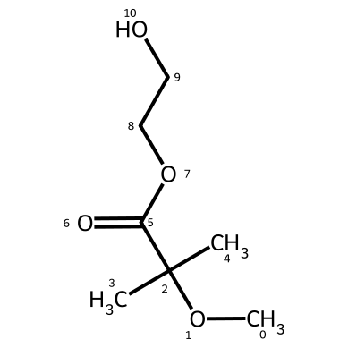 COC(C)(C)C(=O)OCCO